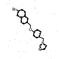 Brc1ccc2cc(COc3ccc(Cn4ccnc4)cc3)ccc2c1